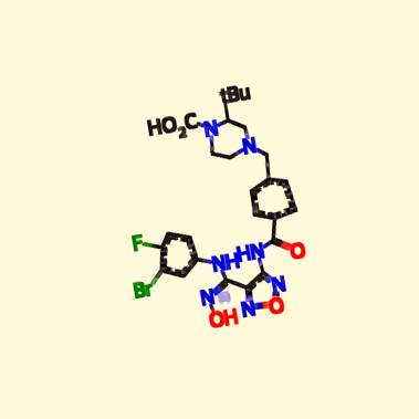 CC(C)(C)C1CN(Cc2ccc(C(=O)Nc3nonc3/C(=N\O)Nc3ccc(F)c(Br)c3)cc2)CCN1C(=O)O